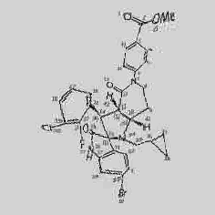 COC(=O)c1ccc(N2CC[C@H]3[C@@H](C2=O)[C@H](c2cccc(Cl)c2F)[C@]2(C(=O)Nc4cc(Br)ccc42)N3CC2CC2)cc1